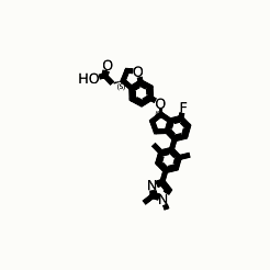 Cc1cc(-c2cn(C)c(C)n2)cc(C)c1-c1ccc(F)c2c1CC[C@H]2Oc1ccc2c(c1)OC[C@H]2CC(=O)O